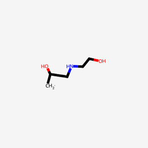 [CH2]C(O)CNCCO